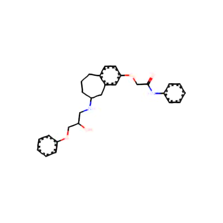 O=C(COc1ccc2c(c1)CC(NCC(O)COc1ccccc1)CCC2)Nc1ccccc1